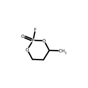 CC1CCOP(=O)(F)O1